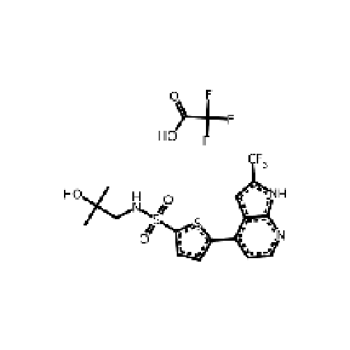 CC(C)(O)CNS(=O)(=O)c1ccc(-c2ccnc3[nH]c(C(F)(F)F)cc23)s1.O=C(O)C(F)(F)F